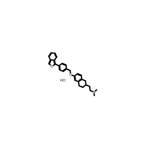 CN(C)CCC1CCc2cc(OCc3ccc(-c4occ5ccccc45)cc3)ccc2C1.Cl